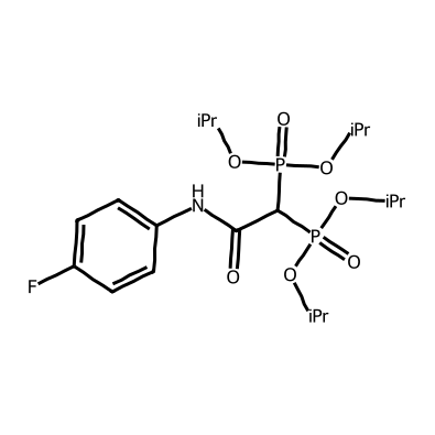 CC(C)OP(=O)(OC(C)C)C(C(=O)Nc1ccc(F)cc1)P(=O)(OC(C)C)OC(C)C